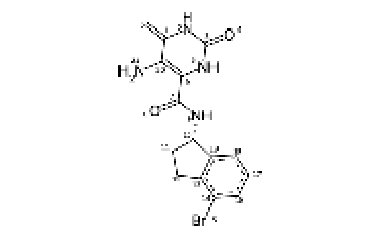 C=C1NC(=O)NC(C(=O)N[C@H]2CCc3c(Br)cccc32)=C1N